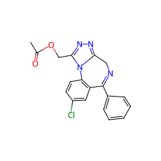 CC(=O)OCc1nnc2n1-c1ccc(Cl)cc1C(c1ccccc1)=NC2